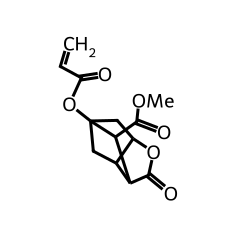 C=CC(=O)OC12CC3OC(=O)C(C3C1)C2C(=O)OC